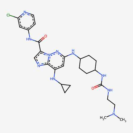 CN(C)CCNC(=O)NC1CCC(Nc2cc(NC3CC3)c3ncc(C(=O)Nc4ccnc(Cl)c4)n3n2)CC1